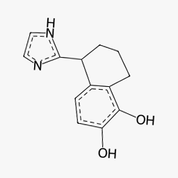 Oc1ccc2c(c1O)CCCC2c1ncc[nH]1